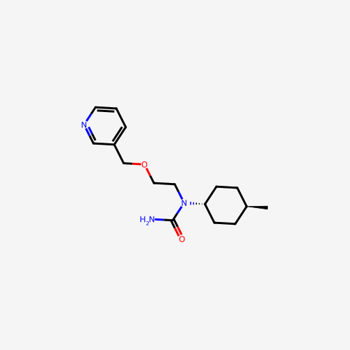 C[C@H]1CC[C@H](N(CCOCc2cccnc2)C(N)=O)CC1